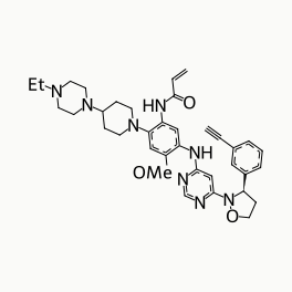 C#Cc1cccc([C@H]2CCON2c2cc(Nc3cc(NC(=O)C=C)c(N4CCC(N5CCN(CC)CC5)CC4)cc3OC)ncn2)c1